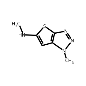 CNc1cc2c(nnn2C)s1